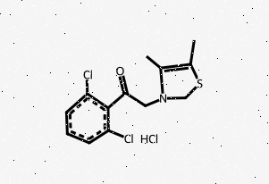 CC1=C(C)N(CC(=O)c2c(Cl)cccc2Cl)CS1.Cl